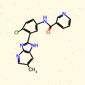 Cc1cnc2nc(-c3cc(NC(=O)c4cccnc4)ccc3Cl)[nH]c2c1